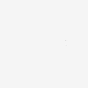 CCCCCCCCCCCCCC1=[C]CC=C1